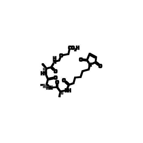 C[C@H](NC(=O)CCCCCN1C(=O)C=CC1=O)C(=O)N[C@H](C)C(=O)N[C@@H](C)C(=O)NCOCC(=O)O